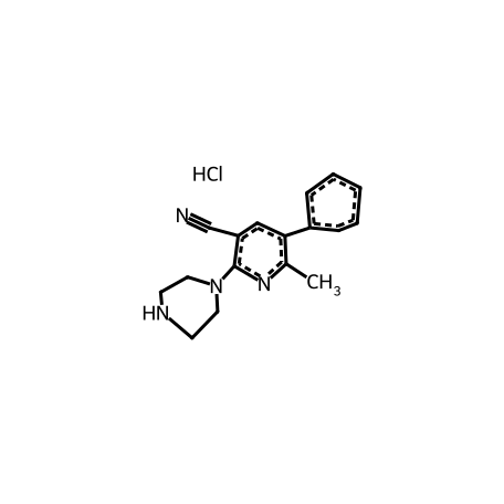 Cc1nc(N2CCNCC2)c(C#N)cc1-c1ccccc1.Cl